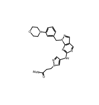 CNC(=O)CCn1cc(Nc2ncc3cnn(Cc4cccc(N5CCOCC5)c4)c3n2)cn1